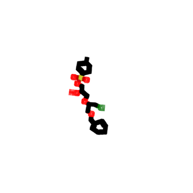 Cc1ccc(S(=O)(=O)OCC(O)COC(CCl)COCc2ccccc2)cc1